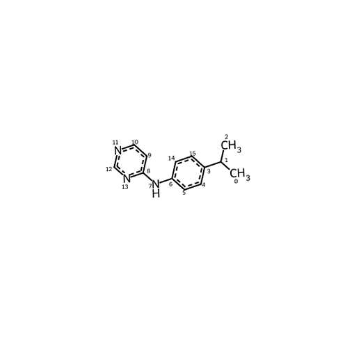 CC(C)c1ccc(Nc2ccncn2)cc1